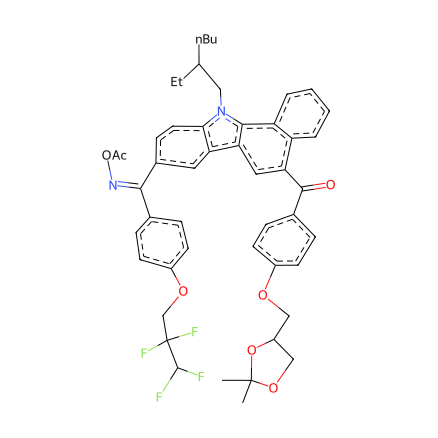 CCCCC(CC)Cn1c2ccc(/C(=N\OC(C)=O)c3ccc(OCC(F)(F)C(F)F)cc3)cc2c2cc(C(=O)c3ccc(OCC4COC(C)(C)O4)cc3)c3ccccc3c21